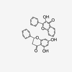 O=C1CC(c2ccccc2)Oc2cc(O)cc(O)c21.O=c1c(O)c(-c2ccccc2)oc2ccccc12